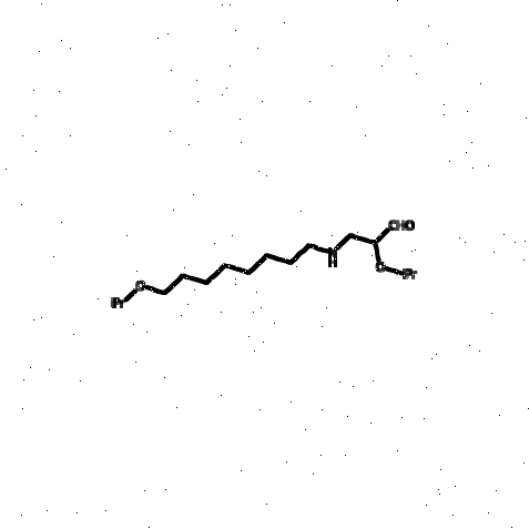 CC(C)OCCCCCCCCNCC(C=O)OC(C)C